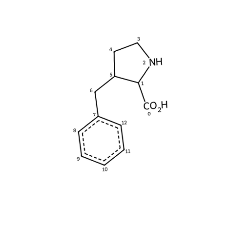 O=C(O)C1NCCC1Cc1ccccc1